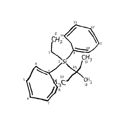 [CH2]C[Si](c1ccccc1)(c1ccccc1)C(C)(C)C